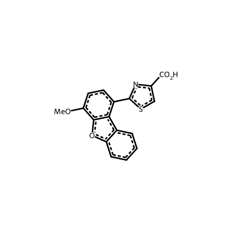 COc1ccc(-c2nc(C(=O)O)cs2)c2c1oc1ccccc12